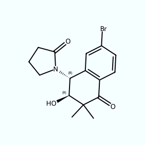 CC1(C)C(=O)c2ccc(Br)cc2[C@@H](N2CCCC2=O)[C@@H]1O